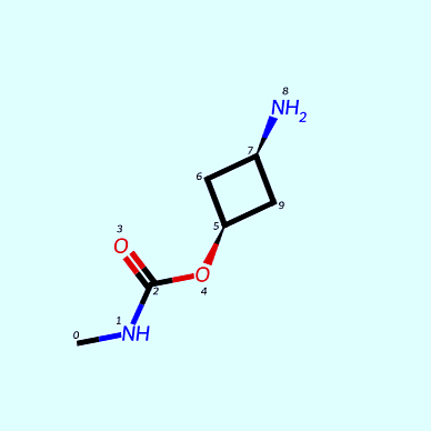 CNC(=O)O[C@H]1C[C@@H](N)C1